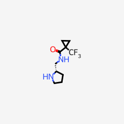 O=C(NC[C@@H]1CCCN1)C1(C(F)(F)F)CC1